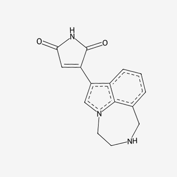 O=C1C=C(c2cn3c4c(cccc24)CNCC3)C(=O)N1